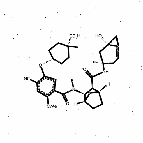 COc1cc(C#N)c(O[C@H]2CC[C@@](C)(C(=O)O)CC2)cc1C(=O)N(C)[C@@H]1[C@H]2CC[C@H](C2)[C@@H]1C(=O)N[C@]1(C)CC=C2C[C@]2(O)C1